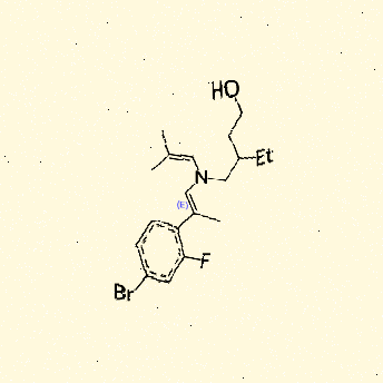 CCC(CCO)CN(C=C(C)C)/C=C(\C)c1ccc(Br)cc1F